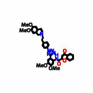 COc1cc2c(cc1OC)CN(CCc1ccc(-n3nnc(-c4cc(OC)c(OC)cc4NC(=O)c4cc(=O)c5ccccc5o4)n3)cc1)C=C2